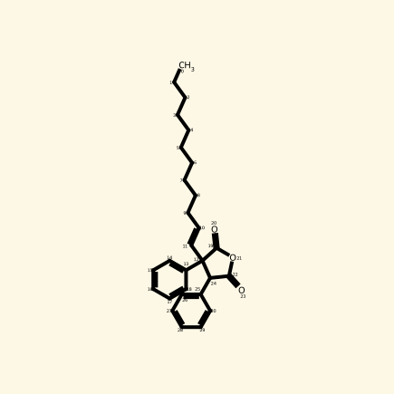 CCCCCCCCCCC=CC1(c2ccccc2)C(=O)OC(=O)C1c1ccccc1